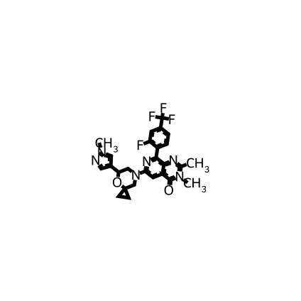 Cc1nc2c(-c3ccc(C(F)(F)F)cc3F)nc(N3CC(c4cnn(C)c4)OC4(CC4)C3)cc2c(=O)n1C